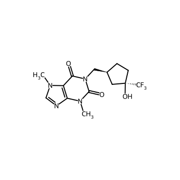 Cn1cnc2c1c(=O)n(C[C@H]1CC[C@](O)(C(F)(F)F)C1)c(=O)n2C